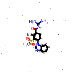 CCc1c(C(=O)N=C(N)N)ccc(-n2cnc3ccccc32)c1S(C)(=O)=O